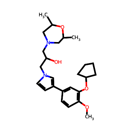 COc1ccc(-c2ccn(CC(O)CN3CC(C)OC(C)C3)c2)cc1OC1CCCC1